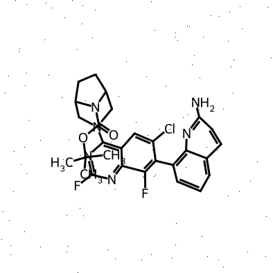 CC(C)(C)OC(=O)N1C2CCC1CN(c1nc(F)nc3c(F)c(-c4cccc5ccc(N)nc45)c(Cl)cc13)C2